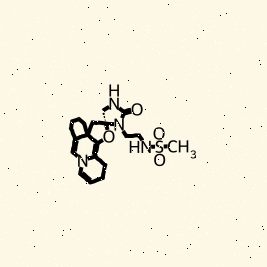 CS(=O)(=O)NCCN1C(=O)NC[C@]12CC13CCCCC1=CN1C=CCCC1=C3O2